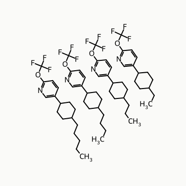 CCC1CCC(c2ccc(OC(F)(F)F)nc2)CC1.CCCC1CCC(c2ccc(OC(F)(F)F)nc2)CC1.CCCCC1CCC(c2ccc(OC(F)(F)F)nc2)CC1.CCCCCC1CCC(c2ccc(OC(F)(F)F)nc2)CC1